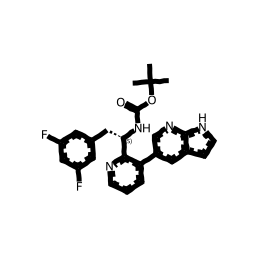 CC(C)(C)OC(=O)N[C@@H](Cc1cc(F)cc(F)c1)c1ncccc1-c1cnc2[nH]ccc2c1